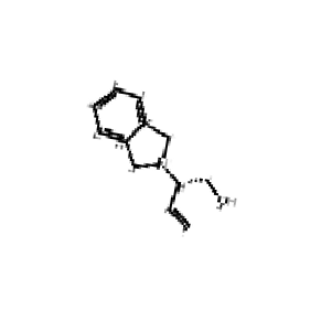 C=C[C@@H](CO)N1Cc2ccccc2C1